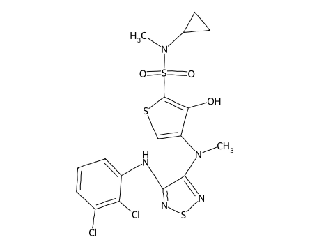 CN(c1csc(S(=O)(=O)N(C)C2CC2)c1O)c1nsnc1Nc1cccc(Cl)c1Cl